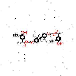 CCCCc1cc(C(CC)C(=O)OCCOc2ccc(C(C)(C)c3ccc(OCCOC(=O)C(CC)c4ccc(O)c(CCCC)c4)cc3)cc2)ccc1O